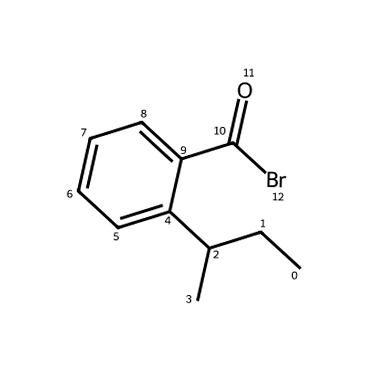 CCC(C)c1ccccc1C(=O)Br